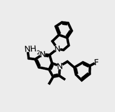 Cc1c(C)n(Cc2cccc(F)c2)c2c(N3CCc4ccccc4C3)nc(CN)cc12